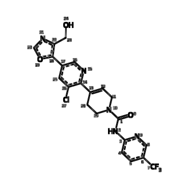 O=C(Nc1ccc(C(F)(F)F)cn1)N1CC=C(c2ncc(-c3ocnc3CO)cc2Cl)CC1